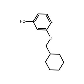 Oc1cc[c]c(OCC2CCCCC2)c1